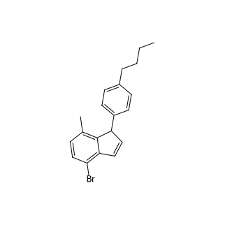 CCCCc1ccc(C2C=Cc3c(Br)ccc(C)c32)cc1